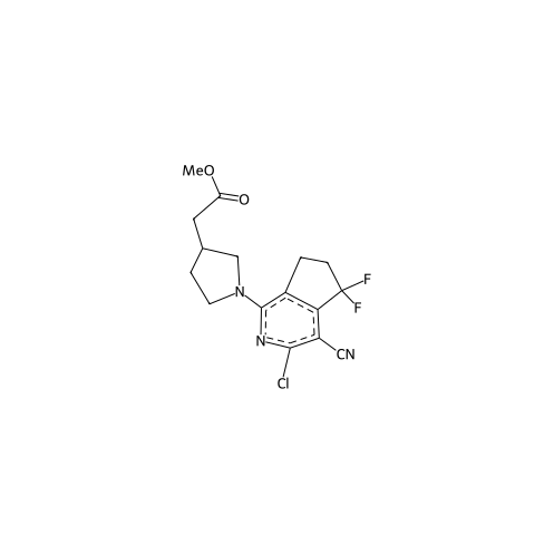 COC(=O)CC1CCN(c2nc(Cl)c(C#N)c3c2CCC3(F)F)C1